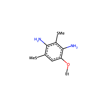 CCOc1cc(SC)c(N)c(SC)c1N